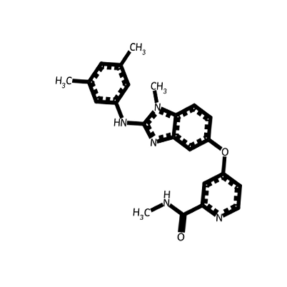 CNC(=O)c1cc(Oc2ccc3c(c2)nc(Nc2cc(C)cc(C)c2)n3C)ccn1